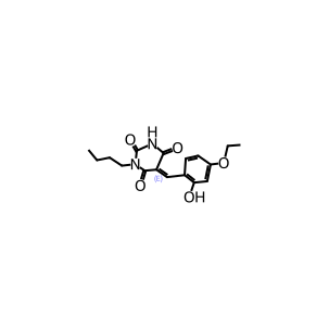 CCCCN1C(=O)NC(=O)/C(=C\c2ccc(OCC)cc2O)C1=O